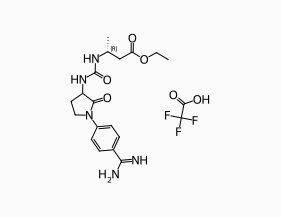 CCOC(=O)C[C@@H](C)NC(=O)NC1CCN(c2ccc(C(=N)N)cc2)C1=O.O=C(O)C(F)(F)F